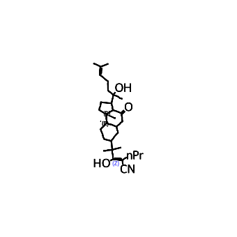 CCC/C(C#N)=C(/O)C(C)(C)C1CC[C@]2(C)C(CC(=O)C3C(C(C)(O)CCC=C(C)C)CC[C@]32C)C1